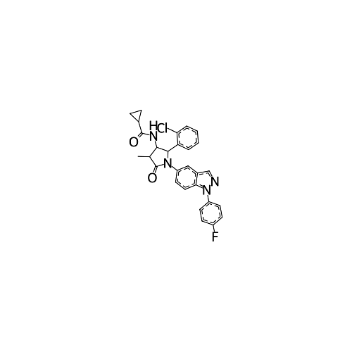 CC1C(=O)N(c2ccc3c(cnn3-c3ccc(F)cc3)c2)C(c2ccccc2Cl)C1NC(=O)C1CC1